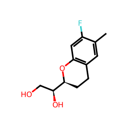 Cc1cc2c(cc1F)O[C@H]([C@@H](O)CO)CC2